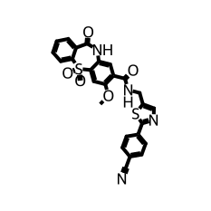 COc1cc2c(cc1C(=O)NCc1cnc(-c3ccc(C#N)cc3)s1)NC(=O)c1ccccc1S2(=O)=O